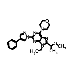 CCn1c(C(C)OC)nc2c(N3CCOCC3)nc(-n3cc(-c4ccccc4)cn3)nc21